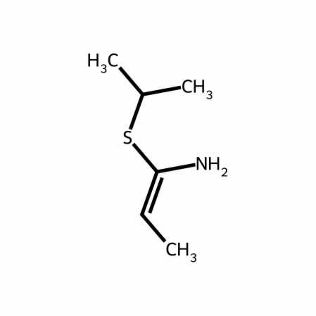 C/C=C(\N)SC(C)C